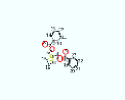 O=C(OCS1(COC(=O)c2ccccc2)CCC1)c1ccccc1